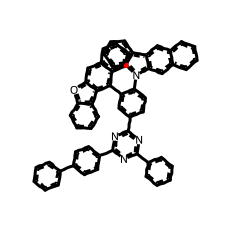 c1ccc(-c2ccc(-c3nc(-c4ccccc4)nc(-c4ccc(-n5c6ccccc6c6cc7ccccc7cc65)c(-c5c6ccccc6cc6oc7ccccc7c56)c4)n3)cc2)cc1